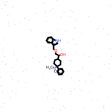 CN(C)C1(c2ccccc2)CCC(C(O)COCc2c[nH]c3ccccc23)CC1